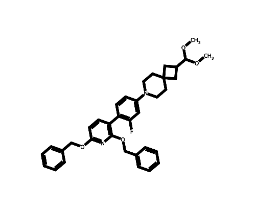 COC(OC)C1CC2(CCN(c3ccc(-c4ccc(OCc5ccccc5)nc4OCc4ccccc4)c(F)c3)CC2)C1